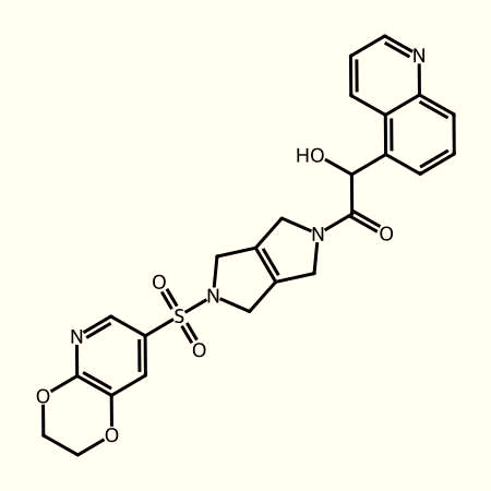 O=C(C(O)c1cccc2ncccc12)N1CC2=C(C1)CN(S(=O)(=O)c1cnc3c(c1)OCCO3)C2